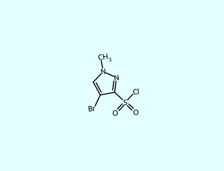 Cn1cc(Br)c(S(=O)(=O)Cl)n1